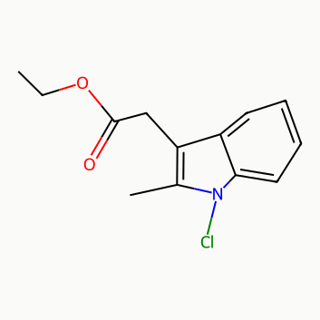 CCOC(=O)Cc1c(C)n(Cl)c2ccccc12